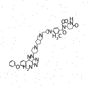 Cc1cc(N2CC(CN3CC4CC(N5CCC(n6nc(-c7ccc(Oc8ccccc8)cc7)c7c(N)ncnc76)CC5)CC4C3)C2)ccc1C(=O)N(C=O)C1CCC(=O)NC1=O